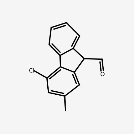 Cc1cc(Cl)c2c(c1)C(C=O)c1ccccc1-2